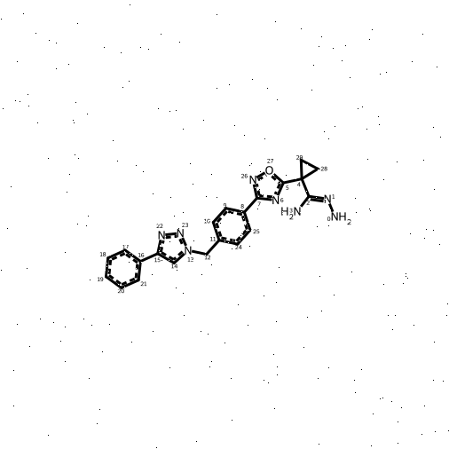 N/N=C(\N)C1(c2nc(-c3ccc(Cn4cc(-c5ccccc5)nn4)cc3)no2)CC1